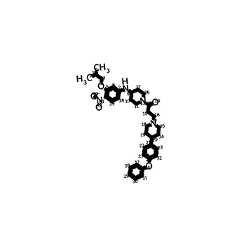 CC(C)COc1cc(NC2CCN(C(=O)CCN3CCC(c4ccc(Oc5ccccc5)cc4)CC3)CC2)ccc1[N+](=O)[O-]